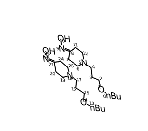 CCCCOCCCN1CCC(=NO)CC1.CCCCOCCCN1CCC(=NO)CC1